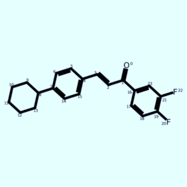 O=C(C=Cc1ccc(C2CCCCC2)cc1)c1ccc(F)c(F)c1